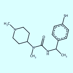 CC(NC(=O)N(C)C1CCN(C)CC1)c1ccc(S)cc1